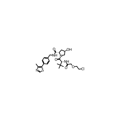 Cc1ncsc1-c1ccc(CNC(=O)[C@@H]2C[C@@H](O)CN2C(=O)[C@H](NC(=O)COCCCl)C(C)(C)C)cc1